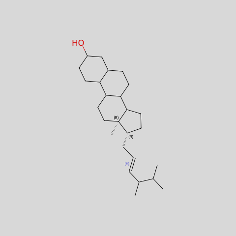 CC(C)C(C)/C=C/C[C@H]1CCC2C3CCC4CC(O)CCC4C3CC[C@@]21C